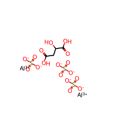 O=C(O)CC(O)C(=O)O.O=S(=O)([O-])[O-].O=S(=O)([O-])[O-].O=S(=O)([O-])[O-].[Al+3].[Al+3]